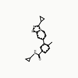 Cc1ccc(C(=O)NC2CC2)cc1-c1ccn2c(C3CC3)nnc2c1